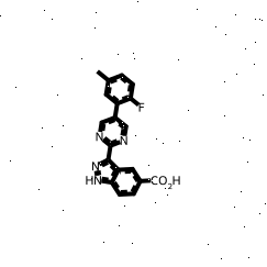 Cc1ccc(F)c(-c2cnc(-c3n[nH]c4ccc(C(=O)O)cc34)nc2)c1